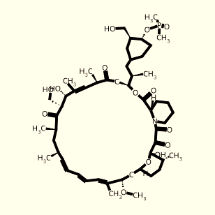 CO[C@H]1C[C@@H]2CC[C@@H](C)[C@@](O)(O2)C(=O)C(=O)N2CCCC[C@H]2C(=O)O[C@H]([C@H](C)CC2CC[C@@H](OP(C)(C)=O)[C@H](CO)C2)CC(=O)[C@H](C)/C=C(\C)[C@@H](O)[C@@H](CO)C(=O)[C@H](C)C[C@H](C)/C=C/C=C/C=C/1C